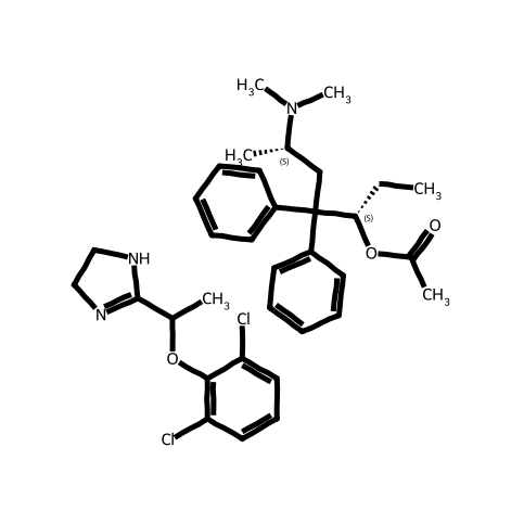 CC(Oc1c(Cl)cccc1Cl)C1=NCCN1.CC[C@H](OC(C)=O)C(C[C@H](C)N(C)C)(c1ccccc1)c1ccccc1